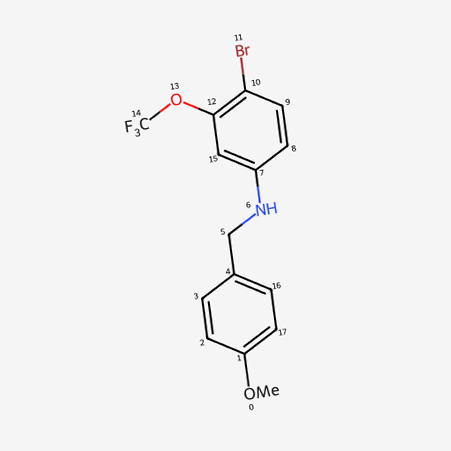 COc1ccc(CNc2ccc(Br)c(OC(F)(F)F)c2)cc1